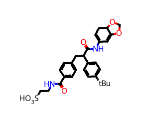 CC(C)(C)c1ccc(C(Cc2ccc(C(=O)NCCS(=O)(=O)O)cc2)C(=O)NC2=CCC3OCOC3=C2)cc1